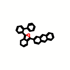 c1cccc(-c2ccccc2-c2oc(-c3ccc4cc5ccccc5cc4c3)c3c2CCC=C3)c#1